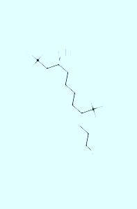 CCCC[C@H](CCCC[C@H](C)CC(F)(F)F)C(F)(F)F